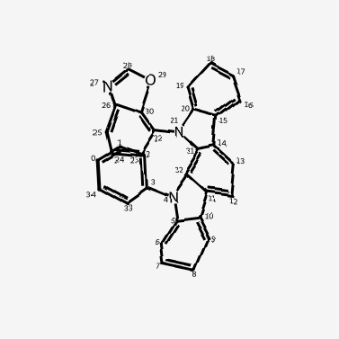 c1ccc(-n2c3ccccc3c3ccc4c5ccccc5n(-c5cccc6ncoc56)c4c32)cc1